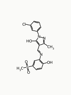 Cc1nn(-c2cccc(Cl)c2)c(O)c1/C=N/c1cc(S(C)(=O)=O)ccc1O